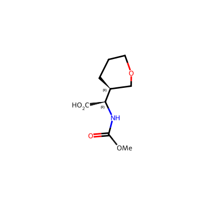 COC(=O)N[C@@H](C(=O)O)[C@H]1CCCOC1